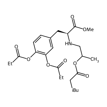 CCC(=O)Oc1ccc(C[C@H](NCC(C)OC(=O)CC(C)CC)C(=O)OC)cc1OC(=O)CC